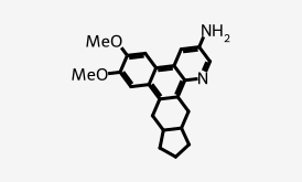 COc1cc2c3c(c4ncc(N)cc4c2cc1OC)CC1CCCC1C3